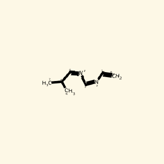 C=C/N=C\N=C/C(C)C